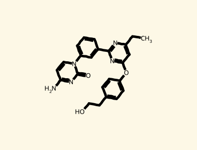 CCc1cc(Oc2ccc(CCO)cc2)nc(-c2cccc(-n3ccc(N)nc3=O)c2)n1